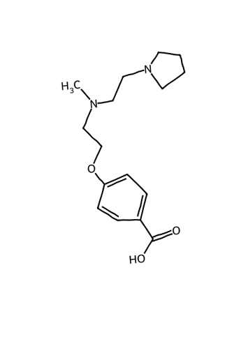 CN(CCOc1ccc(C(=O)O)cc1)CCN1CCCC1